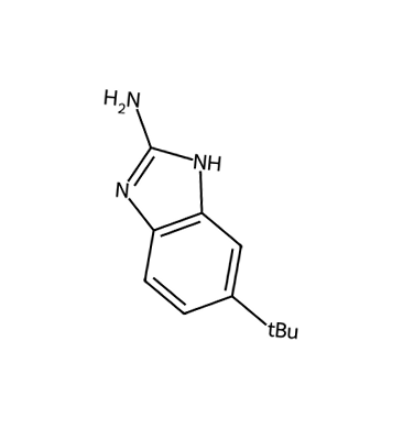 CC(C)(C)c1ccc2nc(N)[nH]c2c1